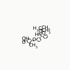 Cc1cc(C(=O)O)ccc1COc1cccc(C(NC(=O)OC(C)(C)C)c2ccccc2)c1